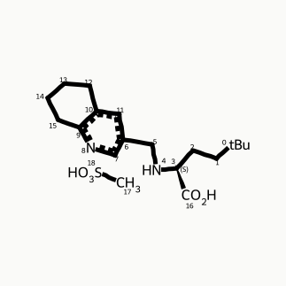 CC(C)(C)CC[C@H](NCc1cnc2c(c1)CCCC2)C(=O)O.CS(=O)(=O)O